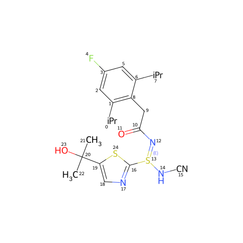 CC(C)c1cc(F)cc(C(C)C)c1CC(=O)/N=S(/NC#N)c1ncc(C(C)(C)O)s1